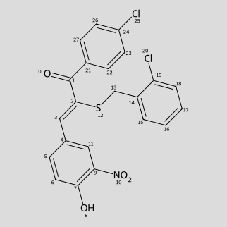 O=C(C(=Cc1ccc(O)c([N+](=O)[O-])c1)SCc1ccccc1Cl)c1ccc(Cl)cc1